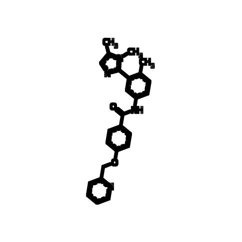 Cc1ccc(NC(=O)c2ccc(OCc3ccccn3)cc2)cc1-c1ncc(C)n1C